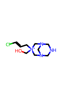 OC[N+]1(CC=CCl)CN2CNCN(C2)C1